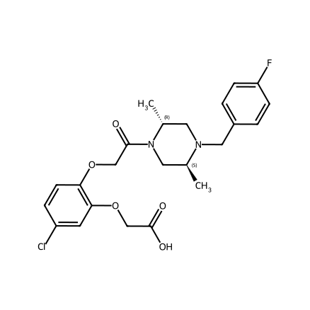 C[C@@H]1CN(Cc2ccc(F)cc2)[C@@H](C)CN1C(=O)COc1ccc(Cl)cc1OCC(=O)O